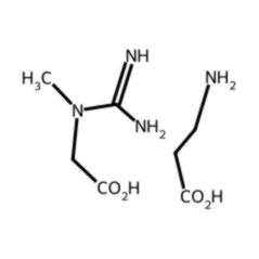 CN(CC(=O)O)C(=N)N.NCCC(=O)O